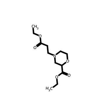 CCOC(=O)CCN1CCOC(C(=O)OCC)C1